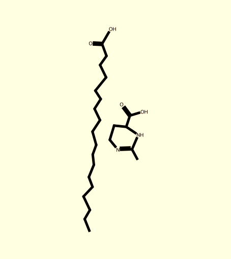 CC1=NCCC(C(=O)O)N1.CCCCCCCCCCCCCCCCCC(=O)O